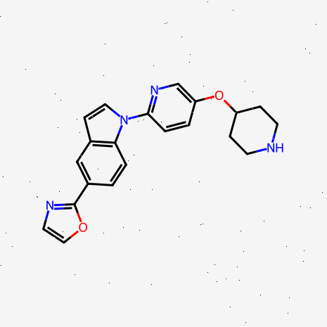 c1coc(-c2ccc3c(ccn3-c3ccc(OC4CCNCC4)cn3)c2)n1